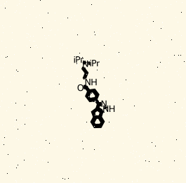 CC(C)N(CCCNC(=O)c1ccc(-c2n[nH]c3c2Cc2ccccc2-3)cc1)C(C)C